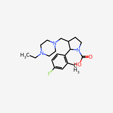 CCN1CCN(CC2CCN(C(=O)O)C2c2ccc(F)cc2C)CC1